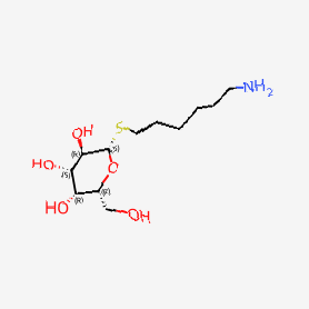 NCCCCCCS[C@@H]1O[C@H](CO)[C@H](O)[C@H](O)[C@H]1O